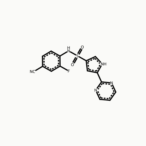 N#Cc1ccc(NS(=O)(=O)c2c[nH]c(-c3ncccn3)c2)c(F)c1